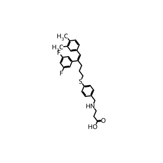 Cc1ccc(C=C(CCCSc2ccc(CNCCC(=O)O)cc2)c2cc(F)cc(F)c2)cc1C